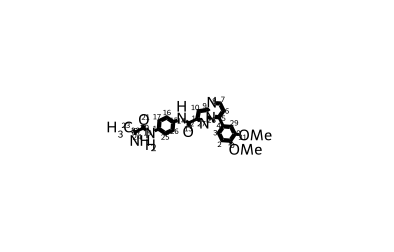 COc1ccc(-c2ccnc3cc(C(=O)Nc4ccc(NC(=O)[C@H](C)N)cc4)nn23)cc1OC